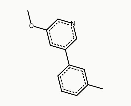 COc1cncc(-c2cccc(C)c2)c1